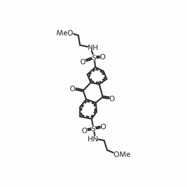 COCCNS(=O)(=O)c1ccc2c(c1)C(=O)c1ccc(S(=O)(=O)NCCOC)cc1C2=O